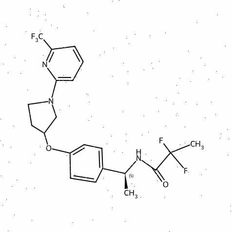 C[C@H](NC(=O)C(C)(F)F)c1ccc(OC2CCN(c3cccc(C(F)(F)F)n3)C2)cc1